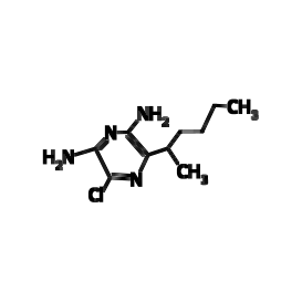 CCCCC(C)c1nc(Cl)c(N)nc1N